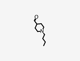 CCCCN1CCC(C=O)CC1